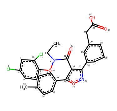 CCN(Oc1ccc(Cl)cc1Cl)C(=O)c1c(-c2cccc(CC(=O)O)c2)noc1-c1ccc(C)cc1